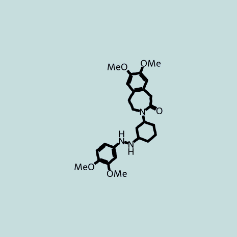 COc1ccc(NNC2CCCC(N3CCc4cc(OC)c(OC)cc4CC3=O)C2)cc1OC